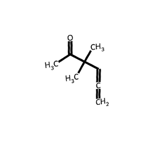 C=C=CC(C)(C)C(C)=O